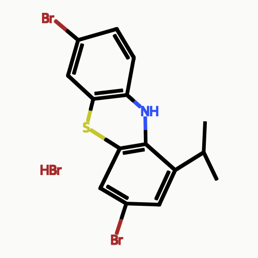 Br.CC(C)c1cc(Br)cc2c1Nc1ccc(Br)cc1S2